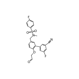 CN(Cc1ccc(OCC=O)c(-c2cc(F)cc(C#N)c2)c1)S(=O)(=O)c1ccc(F)cc1